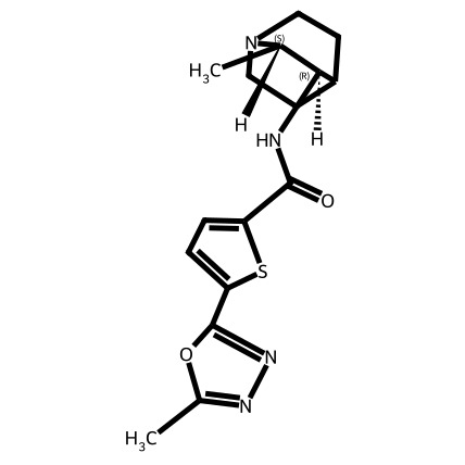 Cc1nnc(-c2ccc(C(=O)N[C@@H]3C4CCN(CC4)[C@H]3C)s2)o1